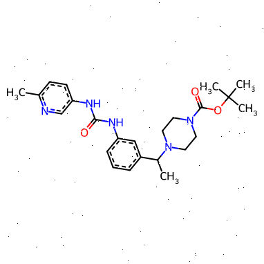 Cc1ccc(NC(=O)Nc2cccc(C(C)N3CCN(C(=O)OC(C)(C)C)CC3)c2)cn1